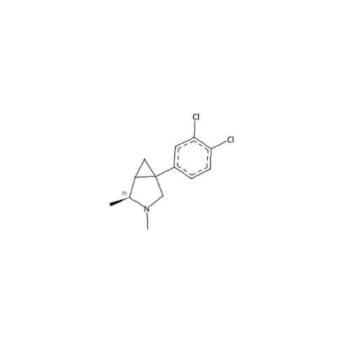 C[C@H]1C2CC2(c2ccc(Cl)c(Cl)c2)CN1C